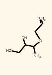 C=CCOC(C)C(O)CO